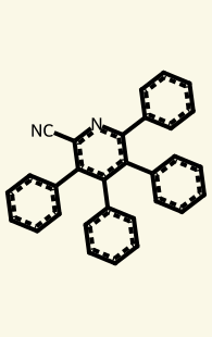 N#Cc1nc(-c2ccccc2)c(-c2ccccc2)c(-c2ccccc2)c1-c1ccccc1